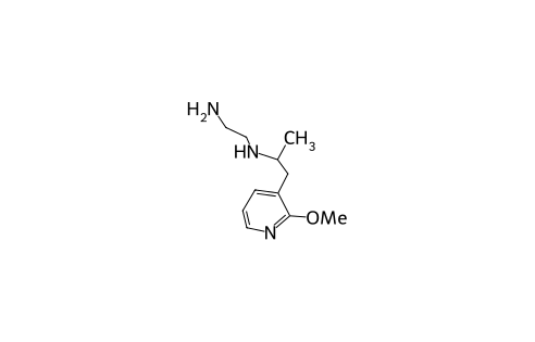 COc1ncccc1CC(C)NCCN